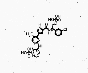 CC[C@H](COP(=O)(O)O)Nc1ncc(C)c(-c2c[nH]c(C(=O)N[C@H](COP(=O)(O)O)c3cccc(Cl)c3)c2)n1